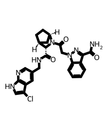 NC(=O)c1nn(CC(=O)N2[C@@H]3CC[C@@H](C3)[C@H]2C(=O)NCc2cnc3[nH]cc(Cl)c3c2)c2ccccc12